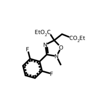 CCOC(=O)CC1(C(=O)OCC)N=C(c2c(F)cccc2F)N(C)O1